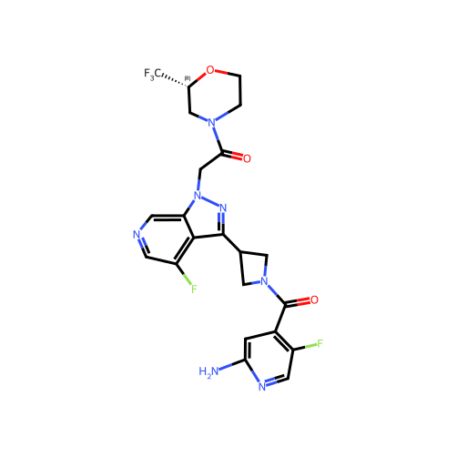 Nc1cc(C(=O)N2CC(c3nn(CC(=O)N4CCO[C@@H](C(F)(F)F)C4)c4cncc(F)c34)C2)c(F)cn1